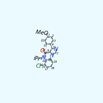 COc1ccc(-c2ncn3c2c(=O)n(C(C)C)c2c(Cl)cccc23)cc1